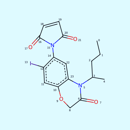 CCCC(C)N1C(=O)COc2cc(I)c(N3C(=O)C=CC3=O)cc21